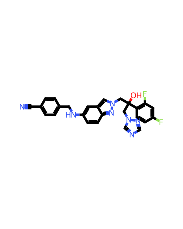 N#Cc1ccc(CNc2ccc3nn(CC(O)(Cn4cncn4)c4ccc(F)cc4F)cc3c2)cc1